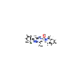 CCc1cc(C(=O)N2CCc3ccccc3C2C)nc2cc(-c3ccccc3F)nn12